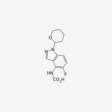 O=C(O)Nc1c(F)ccc2c1cnn2C1CCCCO1